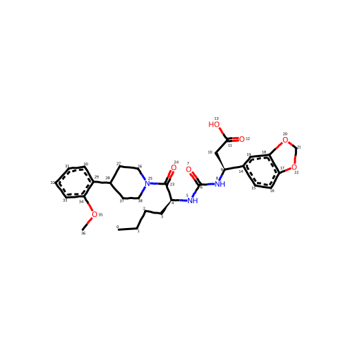 CCCC[C@H](NC(=O)N[C@@H](CC(=O)O)c1ccc2c(c1)OCO2)C(=O)N1CCC(c2ccccc2OC)CC1